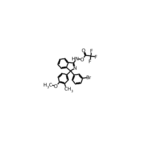 COc1ccc(C2(c3cccc(Br)c3)N=C(NOC(=O)C(F)(F)F)c3ccccc32)cc1C